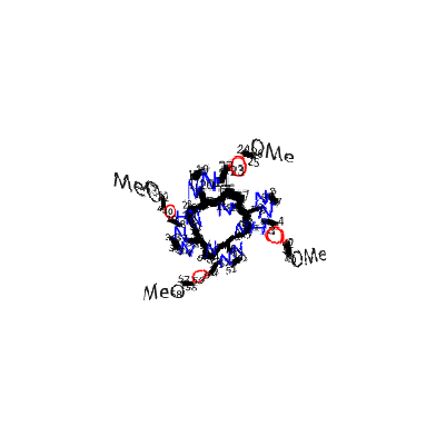 COCCOCCn1ccnc1-c1c2nc(c(-c3nccn3CCOCCOC)c3ccc([nH]3)c(-c3nccn3CCOCCOC)c3nc(c(-c4nccn4CCOCCOC)c4ccc1[nH]4)C=C3)C=C2